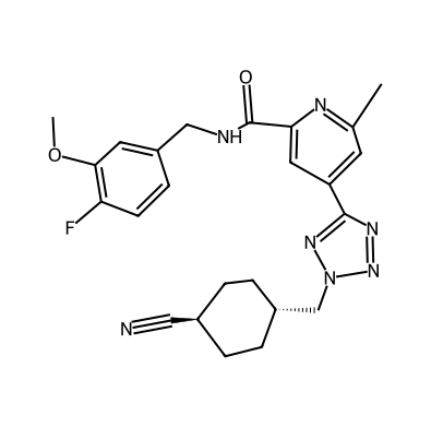 COc1cc(CNC(=O)c2cc(-c3nnn(C[C@H]4CC[C@H](C#N)CC4)n3)cc(C)n2)ccc1F